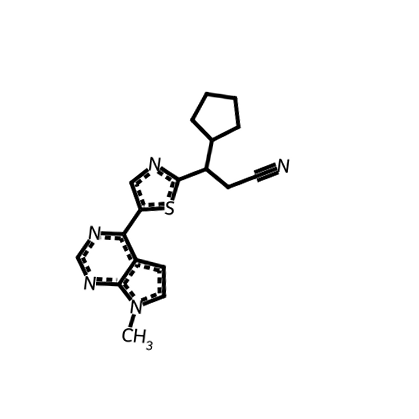 Cn1ccc2c(-c3cnc(C(CC#N)C4CCCC4)s3)ncnc21